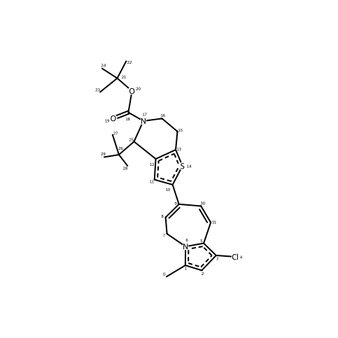 Cc1cc(Cl)c2n1CC=C(c1cc3c(s1)CCN(C(=O)OC(C)(C)C)C3C(C)(C)C)C=C2